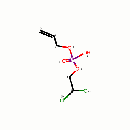 C=CCOP(=O)(O)OCC(Cl)Cl